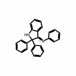 c1ccc(/N=C2\c3ccccc3NC2(c2ccccc2)c2ccccc2)cc1